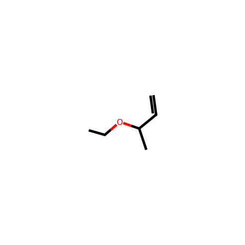 C=CC(C)OCC